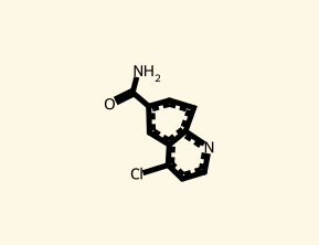 NC(=O)c1ccc2nccc(Cl)c2c1